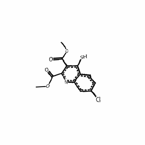 COC(=O)c1nc2cc(Cl)ccc2c(S)c1C(=O)OC